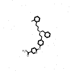 Cc1ccccc1CCCN(CCc1ccc(Oc2ccc(C(N)=O)cn2)cc1)Cc1ccccc1